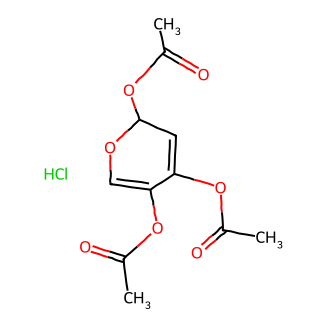 CC(=O)OC1=COC(OC(C)=O)C=C1OC(C)=O.Cl